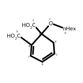 CCCCCCOC1(C(=O)O)CC=CC=C1C(=O)O